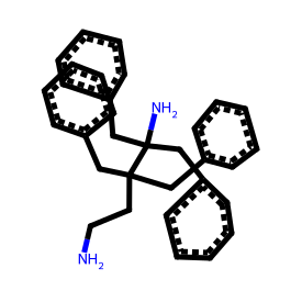 NCCC(Cc1ccccc1)(Cc1ccccc1)C(N)(Cc1ccccc1)Cc1ccccc1